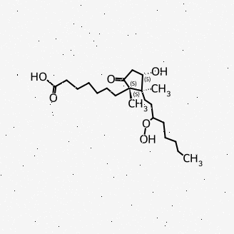 CCCCCC(CC[C@]1(C)[C@@H](O)CC(=O)[C@@]1(C)CCCCCCC(=O)O)OO